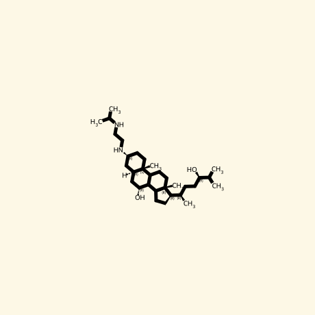 CC(C)NCCN[C@@H]1CC[C@]2(C)C3CC[C@@]4(C)C(CC[C@@H]4[C@H](C)CC[C@@H](O)C(C)C)C3[C@H](O)C[C@H]2C1